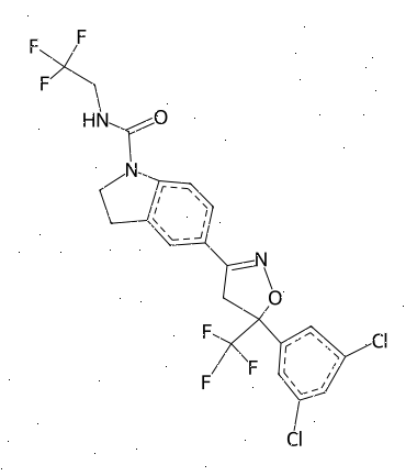 O=C(NCC(F)(F)F)N1CCc2cc(C3=NOC(c4cc(Cl)cc(Cl)c4)(C(F)(F)F)C3)ccc21